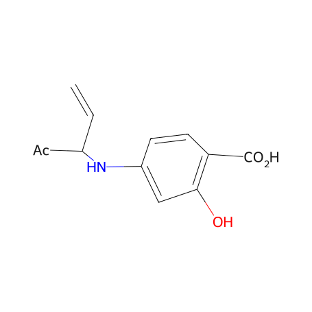 C=CC(Nc1ccc(C(=O)O)c(O)c1)C(C)=O